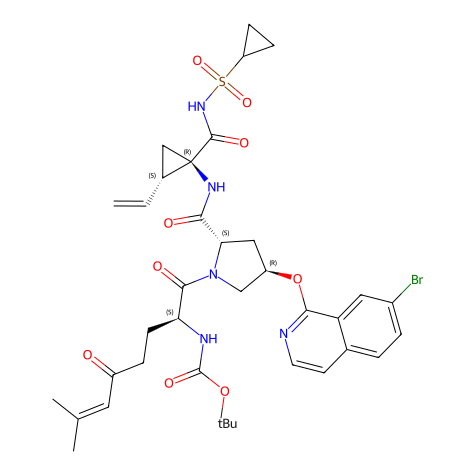 C=C[C@@H]1C[C@]1(NC(=O)[C@@H]1C[C@@H](Oc2nccc3ccc(Br)cc23)CN1C(=O)[C@H](CCC(=O)C=C(C)C)NC(=O)OC(C)(C)C)C(=O)NS(=O)(=O)C1CC1